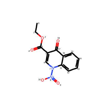 CCOC(=O)c1cn([N+](=O)[O-])c2ccccc2c1=O